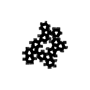 c1ccc(-n2c3ccccc3c3cc(-c4ccc5c6ccc7ccccc7c6n(-c6ccc(-c7ccccc7-c7ccc8c(c7)-c7cccc9cccc-8c79)cc6)c5c4)ccc32)cc1